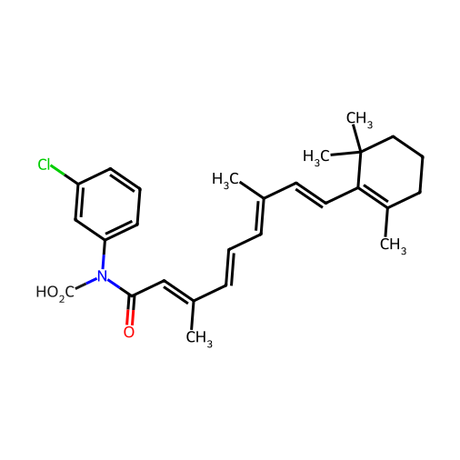 CC(C=CC1=C(C)CCCC1(C)C)=CC=CC(C)=CC(=O)N(C(=O)O)c1cccc(Cl)c1